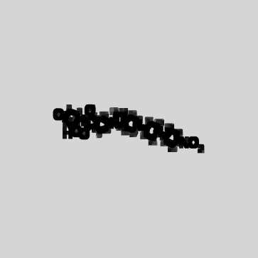 O=C1CCC(N2C(=O)c3ccc(N4CCC5(CCN(C6CCN(c7ccc([N+](=O)[O-])cc7)CC6)CC5)C4)cc3C2=O)C(=O)N1